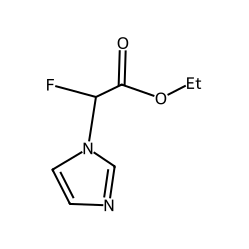 CCOC(=O)C(F)n1ccnc1